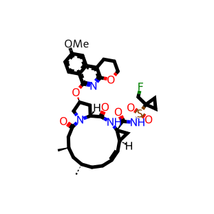 COc1ccc2c(O[C@@H]3C[C@H]4C(=O)N[C@]5(C(=O)NS(=O)(=O)C6(CF)CC6)C[C@H]5/C=C\CC[C@H](C)C[C@@H](C)CC(=O)N4C3)nc3c(c2c1)CCCO3